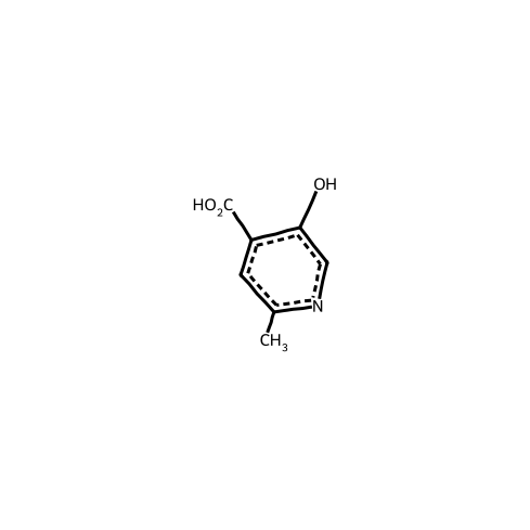 Cc1cc(C(=O)O)c(O)cn1